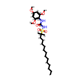 CCCCCCCCCCCCCC(C)(C)S(=O)(=O)NC(=O)Nc1c(OC)cc(OC)cc1OC